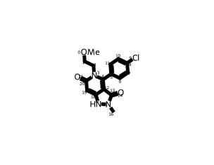 COCCn1c(-c2ccc(Cl)cc2)c2c(=O)n(C)[nH]c2cc1=O